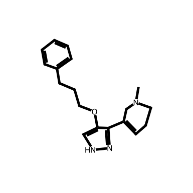 CN1CCC=C(c2n[nH]cc2OCCCc2ccccc2)C1